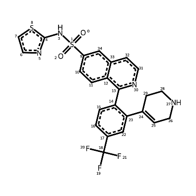 O=S(=O)(Nc1nccs1)c1ccc2c(-c3ccc(C(F)(F)F)cc3C3=CCNCC3)nccc2c1